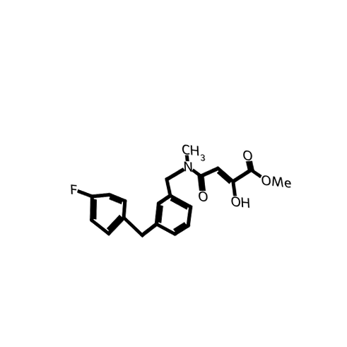 COC(=O)/C(O)=C/C(=O)N(C)Cc1cccc(Cc2ccc(F)cc2)c1